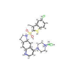 Cc1c(S(=O)(=O)N2CCc3cc4nccc(N5CCN(C)CC5)c4cc32)sc2ccc(Cl)cc12.Cl